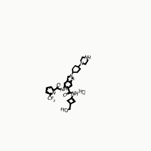 Cl.O=C(Nc1cc2cn(C3CCC(N4CCNCC4)CC3)nc2cc1C(=O)NC1CC(CO)C1)c1cccc(C(F)(F)F)n1